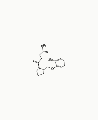 C=C(CCC)CCC(=C)N1CCCC1COc1ccccc1C(C)(C)C